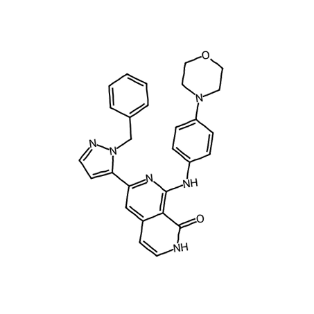 O=c1[nH]ccc2cc(-c3ccnn3Cc3ccccc3)nc(Nc3ccc(N4CCOCC4)cc3)c12